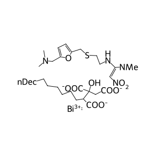 CCCCCCCCCCCCCCCCC(C(=O)[O-])C(O)(CC(=O)[O-])C(=O)[O-].CNC(=C[N+](=O)[O-])NCCSCc1ccc(CN(C)C)o1.[Bi+3]